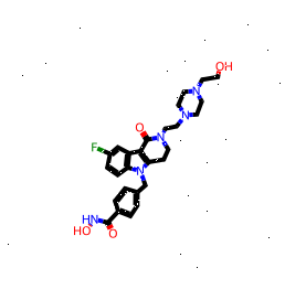 O=C(NO)c1ccc(Cn2c3c(c4cc(F)ccc42)C(=O)N(CCN2CCN(CCO)CC2)CC3)cc1